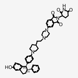 O=C1CCC(N2C(=O)c3ccc(N4CCN(CCC5CCN(c6ccc([C@@H]7c8ccc(O)cc8CC[C@@H]7c7ccccc7)cc6)CC5)CC4)cc3C2=O)C(=O)N1